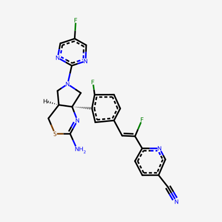 N#Cc1ccc(/C(F)=C/c2ccc(F)c([C@@]34CN(c5ncc(F)cn5)C[C@@H]3CSC(N)=N4)c2)nc1